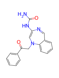 NC(=O)NC1=CN(CC(=O)c2ccccc2)c2ccccc2C=N1